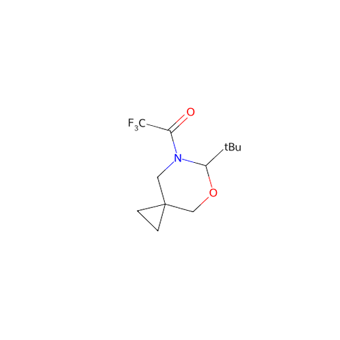 CC(C)(C)C1OCC2(CC2)CN1C(=O)C(F)(F)F